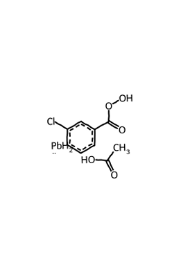 CC(=O)O.O=C(OO)c1cccc(Cl)c1.[PbH2]